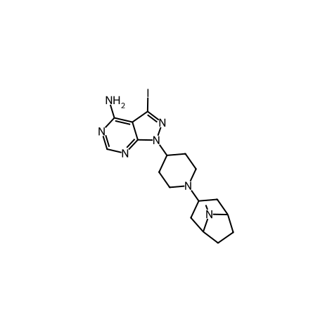 CN1C2CCC1CC(N1CCC(n3nc(I)c4c(N)ncnc43)CC1)C2